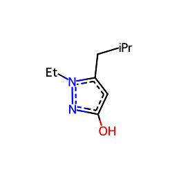 CCn1nc(O)cc1CC(C)C